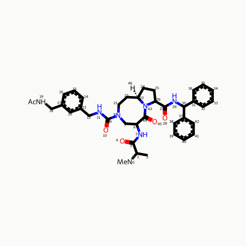 CNC(C)C(=O)NC1CN(C(=O)NCc2cccc(CNC(C)=O)c2)CC[C@H]2CCC(C(=O)NC(c3ccccc3)c3ccccc3)N2C1=O